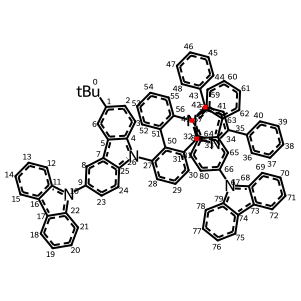 CC(C)(C)c1ccc2c(c1)c1cc(-n3c4ccccc4c4ccccc43)ccc1n2-c1cccc(-c2nc(-c3ccccc3)cc(-c3ccccc3)n2)c1-c1ccccc1-n1c2ccccc2c2cc(-n3c4ccccc4c4ccccc43)ccc21